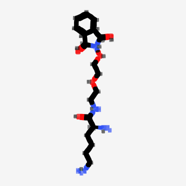 NCCCC[C@H](N)C(=O)NCCOCCON1C(=O)c2ccccc2C1=O